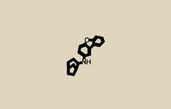 c1ccc2c(c1)oc1ccc(NC3CCC4CCC3C4)cc12